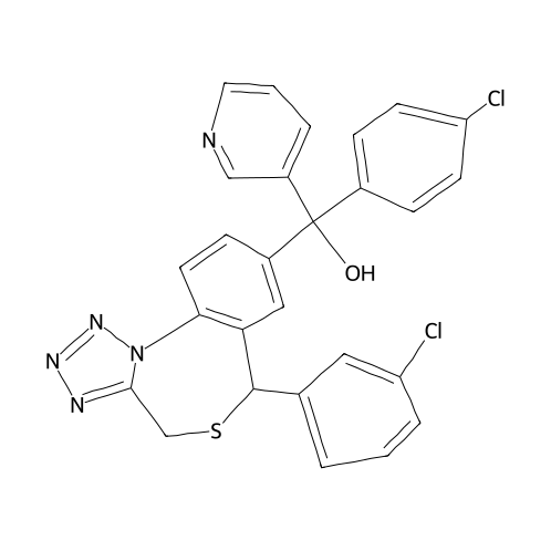 OC(c1ccc(Cl)cc1)(c1cccnc1)c1ccc2c(c1)C(c1cccc(Cl)c1)SCc1nnnn1-2